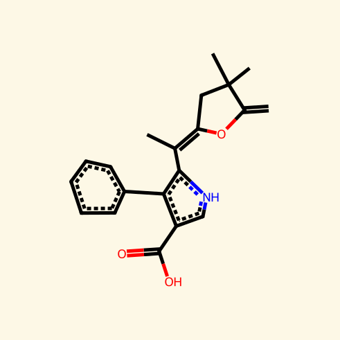 C=C1OC(=C(C)c2[nH]cc(C(=O)O)c2-c2ccccc2)CC1(C)C